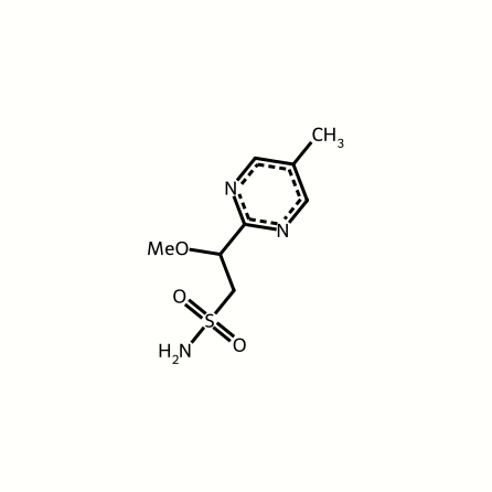 COC(CS(N)(=O)=O)c1ncc(C)cn1